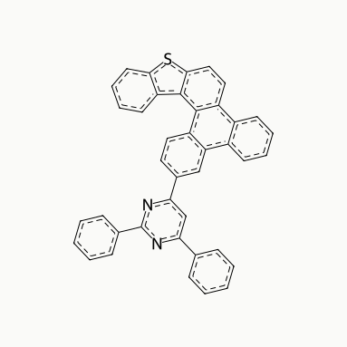 c1ccc(-c2cc(-c3ccc4c(c3)c3ccccc3c3ccc5sc6ccccc6c5c34)nc(-c3ccccc3)n2)cc1